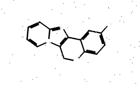 Brc1ccc2c(c1)-c1nc3ccccn3c1CO2